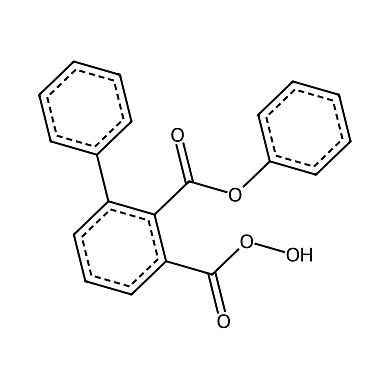 O=C(OO)c1cccc(-c2ccccc2)c1C(=O)Oc1ccccc1